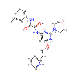 Cc1cccc(NC(=O)C(=O)Nc2cc(OCCc3ccccn3)nc(N3CCOCC3)n2)c1